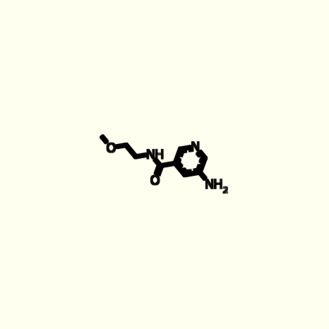 COCCNC(=O)c1cncc(N)c1